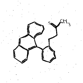 CC(=S)CCc1ccccc1-c1c2ccccc2cc2ccccc12